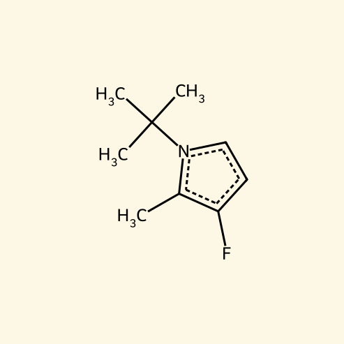 Cc1c(F)ccn1C(C)(C)C